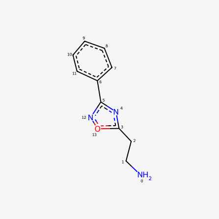 NCCc1nc(-c2ccccc2)no1